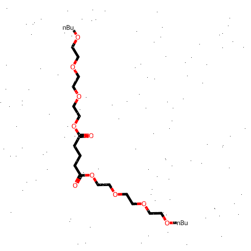 CCCCOCCOCCOCCOC(=O)CCCC(=O)OCCOCCOCCOCCCC